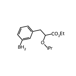 Bc1cccc(CC(OC(C)C)C(=O)OCC)c1